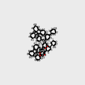 c1ccc(-c2ccc(-c3ccccc3N(c3cccc(N(c4ccc(-c5ccccc5)cc4)c4cccc(C5(c6ccccc6)c6ccccc6-c6ccccc65)c4)c3)c3cccc4c3C(c3ccccc3)(c3ccccc3)c3ccccc3-4)cc2)cc1